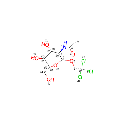 CC(=O)N[C@H]1C(OCC(Cl)(Cl)Cl)O[C@H](CO)[C@@H](O)[C@@H]1O